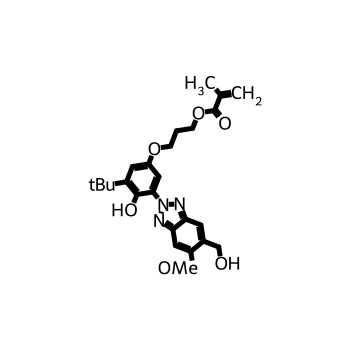 C=C(C)C(=O)OCCCOc1cc(-n2nc3cc(CO)c(OC)cc3n2)c(O)c(C(C)(C)C)c1